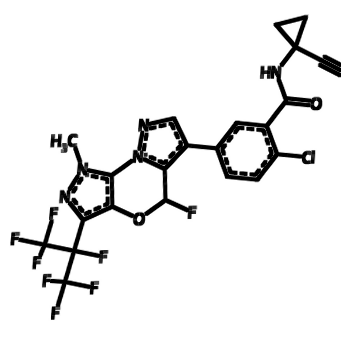 Cn1nc(C(F)(C(F)(F)F)C(F)(F)F)c2c1-n1ncc(-c3ccc(Cl)c(C(=O)NC4(C#N)CC4)c3)c1C(F)O2